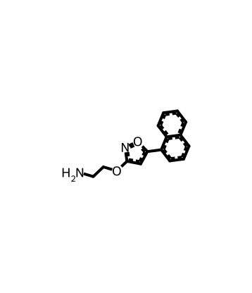 NCCOc1cc(-c2cccc3ccccc23)on1